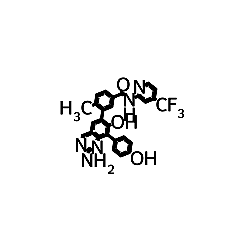 Cc1ccc(C(=O)Nc2cc(C(F)(F)F)ccn2)cc1-c1cc2cnc(N)nc2c(-c2ccc(O)cc2)c1O